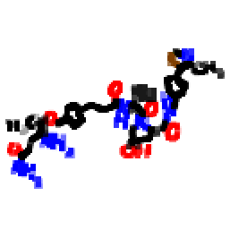 Cc1ncsc1-c1ccc(CNC(=O)[C@@H]2C[C@@H](O)CN2C(=O)[C@@H](NC(=O)CCc2ccc(CO[C@H](C)[C@@H](N)CCC(N)=O)cc2)C(C)(C)C)cc1